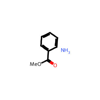 COC(=O)c1ccccc1.N